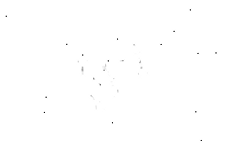 CC1(C)C2CCC1(CS(=O)(=O)N1C(=O)CCC1=O)C(=O)C2